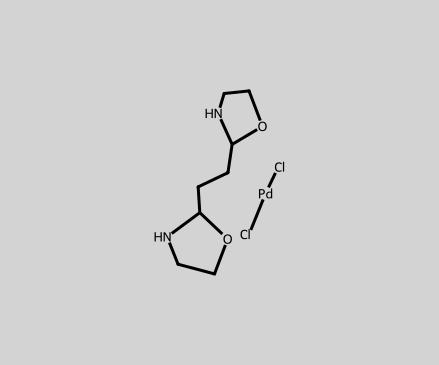 C1COC(CCC2NCCO2)N1.[Cl][Pd][Cl]